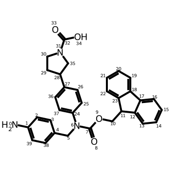 Nc1ccc(CN(C(=O)OCC2c3ccccc3-c3ccccc32)c2ccc(C3CCN(C(=O)O)C3)cc2)cc1